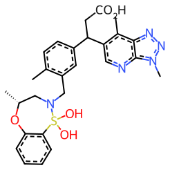 Cc1ccc(C(CC(=O)O)c2cnc3c(nnn3C)c2C)cc1CN1C[C@@H](C)Oc2ccccc2S1(O)O